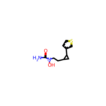 NC(=O)N(O)CCC1CC1c1ccsc1